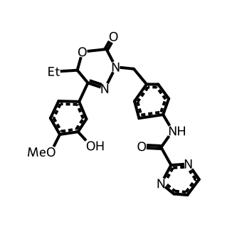 CCC1OC(=O)N(Cc2ccc(NC(=O)c3ncccn3)cc2)N=C1c1ccc(OC)c(O)c1